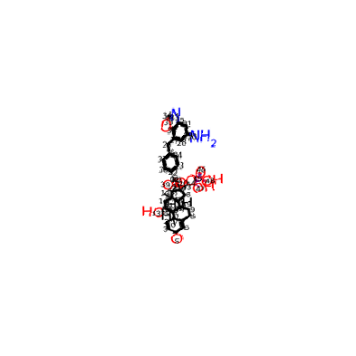 C[C@]12C=CC(=O)C=C1CC[C@@H]1[C@@H]2[C@@H](O)C[C@@]2(C)[C@H]1CC1O[C@@H](c3ccc(Cc4cc(N)cc5ncoc45)cc3)O[C@]12C(=O)COP(=O)(O)O